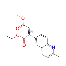 CCOC(=O)/C=C(\C(=O)OCC)c1ccc2nc(C)ccc2c1